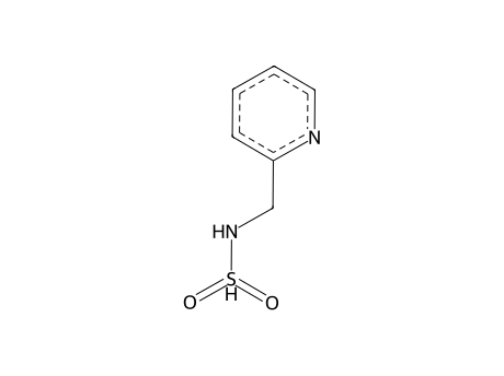 O=[SH](=O)NCc1ccccn1